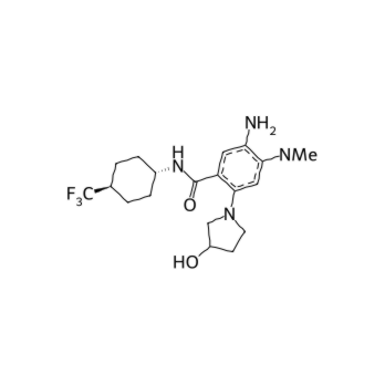 CNc1cc(N2CCC(O)C2)c(C(=O)N[C@H]2CC[C@H](C(F)(F)F)CC2)cc1N